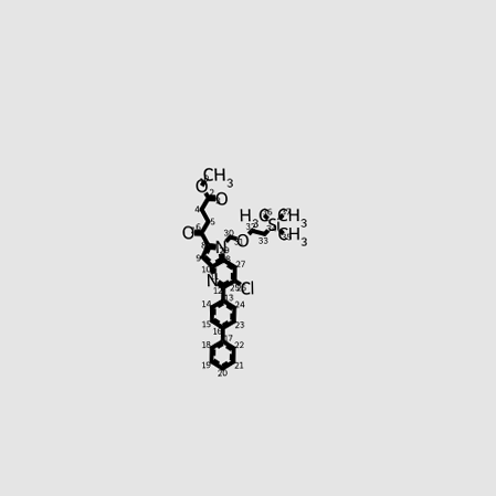 COC(=O)CCC(=O)c1cc2nc(-c3ccc(-c4ccccc4)cc3)c(Cl)cc2n1COCC[Si](C)(C)C